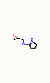 c1c[nH]c(NCC2CO2)c1